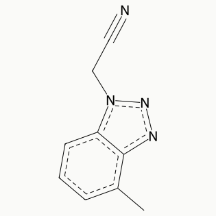 Cc1cccc2c1nnn2CC#N